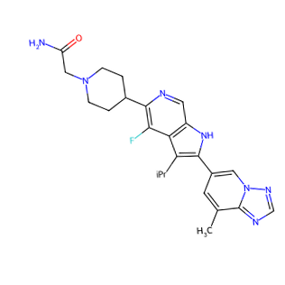 Cc1cc(-c2[nH]c3cnc(C4CCN(CC(N)=O)CC4)c(F)c3c2C(C)C)cn2ncnc12